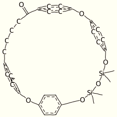 C[Si]1(C)Oc2ccc(cc2)Oc2ccc(cc2)CCCCC(=O)c2ccc(cc2)Oc2ccc(cc2)O[Si](C)(C)O1